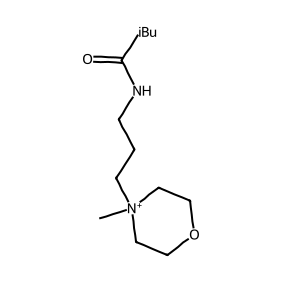 CCC(C)C(=O)NCCC[N+]1(C)CCOCC1